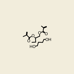 C=C(C)C(=O)OCC(CC)OC(=O)C(=C)C.OCCCCO